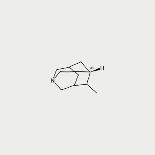 CC1C2CC3C[C@H]1CN(C3)C2